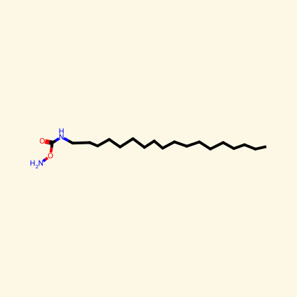 CCCCCCCCCCCCCCCCCCNC(=O)ON